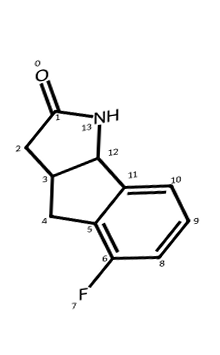 O=C1CC2Cc3c(F)cccc3C2N1